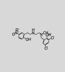 CN(CCNCCc1cc([N+](=O)[O-])ccc1O)Cc1cc(Cl)cc(Cl)c1O